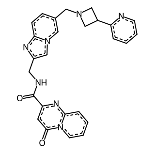 O=C(NCc1cn2cc(CN3CC(c4ccccn4)C3)ccc2n1)c1cc(=O)n2ccccc2n1